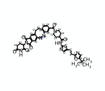 CC(C)(C)c1cnc(CSc2cnc(NC(=O)C3CCN(C(=O)c4ccc5c(c4)/N=N\c4cc6c(cc4CC5)C(=O)N(C4CCC(=O)NC4=O)C6=O)CC3)s2)o1